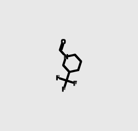 O=CN1CCCC(C(F)(F)F)C1